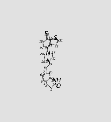 O=C1CCc2ccc(CCN3CCN(c4ccc(F)c5sccc45)CC3)cc2N1